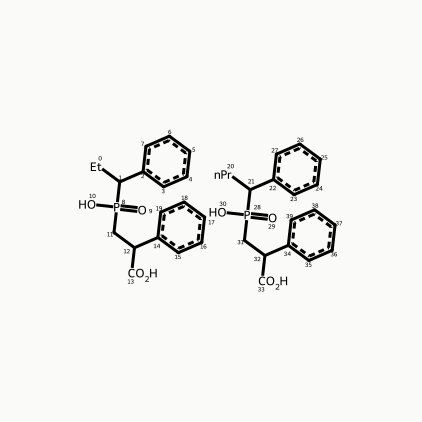 CCC(c1ccccc1)P(=O)(O)CC(C(=O)O)c1ccccc1.CCCC(c1ccccc1)P(=O)(O)CC(C(=O)O)c1ccccc1